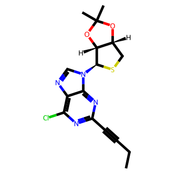 CCC#Cc1nc(Cl)c2ncn([C@@H]3SC[C@H]4OC(C)(C)O[C@@H]34)c2n1